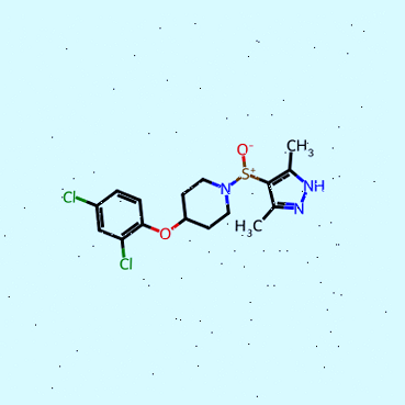 Cc1n[nH]c(C)c1[S+]([O-])N1CCC(Oc2ccc(Cl)cc2Cl)CC1